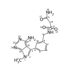 Cn1cc(-c2cccc(CNS(=O)(=O)CC(N)=O)c2)c2c(N)ncnc21